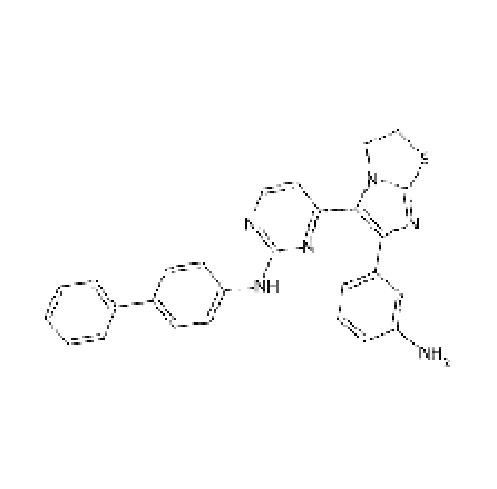 Nc1cccc(-c2nc3n(c2-c2ccnc(Nc4ccc(-c5ccccc5)cc4)n2)CCS3)c1